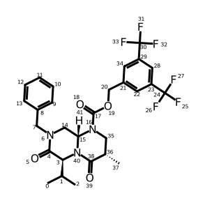 CC(C)[C@H]1C(=O)N(Cc2ccccc2)C[C@@H]2N(C(=O)OCc3cc(C(F)(F)F)cc(C(F)(F)F)c3)C[C@H](C)C(=O)N12